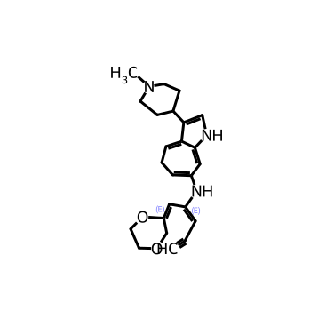 C#C/C=C(\C=C1/COCCO1)NC1=CCC=c2c(C3CCN(C)CC3)c[nH]c2=C1